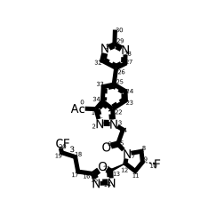 CC(=O)c1nn(CC(=O)N2C[C@H](F)C[C@H]2c2nnc(CCCC(F)(F)F)o2)c2ccc(-c3cnc(C)nc3)cc12